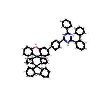 c1ccc(-c2nc(-c3ccc(-c4ccc5c(c4)Oc4ccccc4C54c5ccccc5C5(c6ccccc6-c6ccccc65)c5ccccc54)cc3)nc(-c3ccccc3-c3ccccc3)n2)cc1